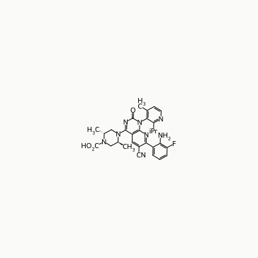 Cc1ccnc(C(C)C)c1-n1c(=O)nc(N2C[C@@H](C)N(C(=O)O)C[C@@H]2C)c2cc(C#N)c(-c3cccc(F)c3N)nc21